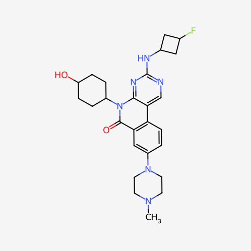 CN1CCN(c2ccc3c(c2)c(=O)n(C2CCC(O)CC2)c2nc(NC4CC(F)C4)ncc32)CC1